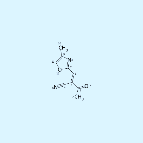 CC(=O)/C(C#N)=C/c1nc(C)co1